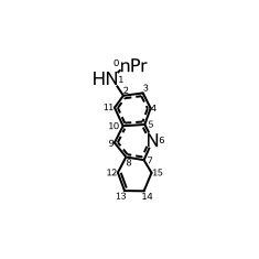 CCCNc1ccc2nc3c(cc2c1)C=CCC3